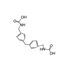 O=C(O)NCc1ccc(Cc2ccc(CNC(=O)O)cc2)cc1